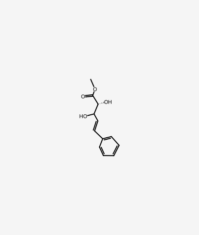 COC(=O)[C@H](O)C(O)C=Cc1ccccc1